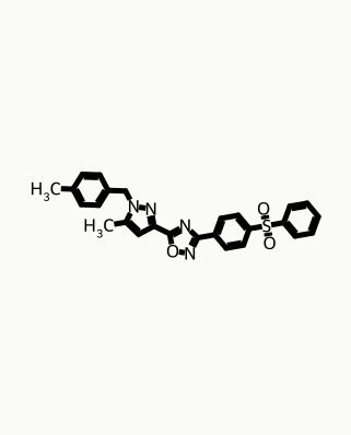 Cc1ccc(Cn2nc(-c3nc(-c4ccc(S(=O)(=O)c5ccccc5)cc4)no3)cc2C)cc1